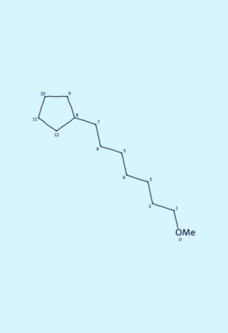 COCCCCCCCC1CCCC1